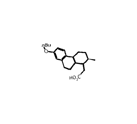 CCCCOc1ccc2c(c1)CCC1C2CC[C@@H](C)C1CC(=O)O